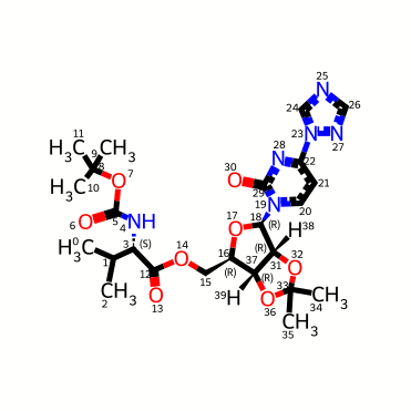 CC(C)[C@H](NC(=O)OC(C)(C)C)C(=O)OC[C@H]1O[C@@H](n2ccc(-n3cncn3)nc2=O)[C@@H]2OC(C)(C)O[C@@H]21